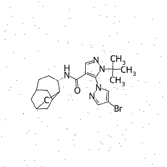 CC(C)(C)n1ncc(C(=O)N[C@H]2CCC3CC4CC(C3)C2C4)c1-n1cc(Br)cn1